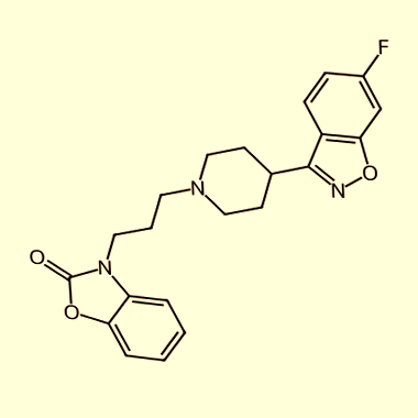 O=c1oc2ccccc2n1CCCN1CCC(c2noc3cc(F)ccc23)CC1